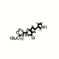 CC(C)[C@H](NC(=O)OC(C)(C)C)c1nc2cc(-c3cc[nH]c3)sc2c(=O)[nH]1